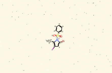 Cc1c(I)cc(Br)n1S(=O)(=O)c1ccccc1